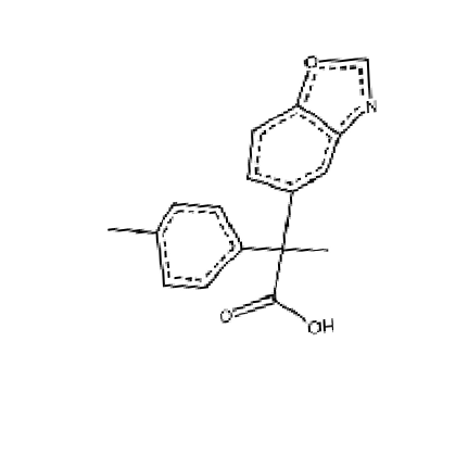 Cc1ccc(C(C)(C(=O)O)c2ccc3ocnc3c2)cc1